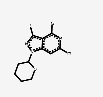 Clc1cc2c(c(Cl)n1)c(I)nn2C1CCCCO1